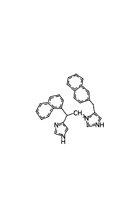 CC(c1c[nH]cn1)c1cccc2ccccc12.c1ccc2cc(Cc3c[nH]cn3)ccc2c1